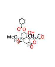 COC(=O)[C@@H]1C[C@H](OC(=O)c2ccccc2)[C@H](O)C2[C@@]1(C)CC[C@H]1C(=O)O[C@H](c3ccoc3)C[C@]21C